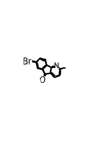 Cc1ccc2c(n1)-c1ccc(Br)cc1C2=O